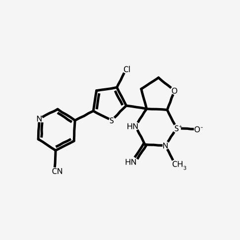 CN1C(=N)NC2(c3sc(-c4cncc(C#N)c4)cc3Cl)CCOC2[S+]1[O-]